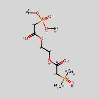 CCOP(=O)(CC(=O)OCCOC(=O)CP(C)(C)=O)OCC